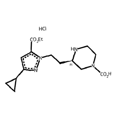 CCOC(=O)c1cc(C2CC2)nn1CC[C@@H]1CN(C(=O)O)CCN1.Cl